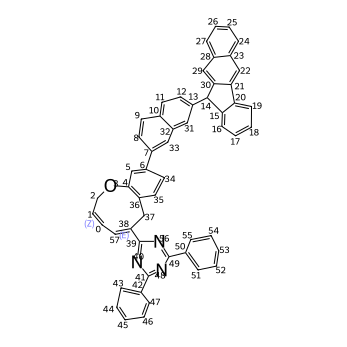 C1=C\COc2cc(-c3ccc4ccc(C5c6ccccc6-c6cc7ccccc7cc65)cc4c3)ccc2C\C(c2nc(-c3ccccc3)nc(-c3ccccc3)n2)=C/1